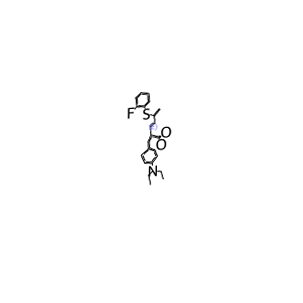 C=C(/C=C/c1cc2ccc(N(CC)CC)cc2oc1=O)Sc1ccccc1F